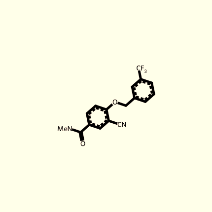 CNC(=O)c1ccc(OCc2cccc(C(F)(F)F)c2)c(C#N)c1